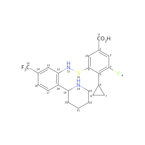 O=C(O)c1cc(F)c(C2CC2)c(SNc2cc(C(F)(F)F)ccc2C2CCCCN2)c1